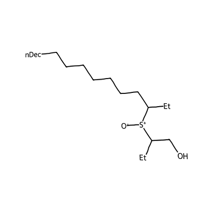 CCCCCCCCCCCCCCCCCC(CC)[S+]([O-])C(CC)CO